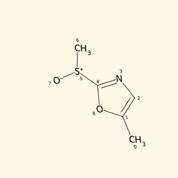 Cc1cnc([S+](C)[O-])o1